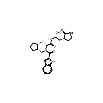 C[C@H]1CCC[C@H]1CN(CC(=O)N[C@H](C=O)C[C@@H]1CCNC1=O)C(=O)c1cc2ccccc2[nH]1